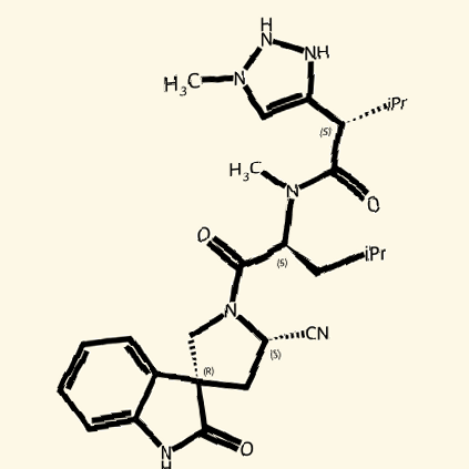 CC(C)C[C@@H](C(=O)N1C[C@]2(C[C@H]1C#N)C(=O)Nc1ccccc12)N(C)C(=O)[C@H](C1=CN(C)NN1)C(C)C